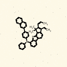 C=CC1=C(/C=C\C)C(C)(C)c2c1ccc1c2sc2c(N(c3ccccc3)c3ccc(-c4ccc5ccccc5c4)cc3)cccc21